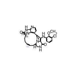 COc1c(Cl)cccc1Nc1c2nn3c1C(=O)NC[C@H]3C/C=C\CC[C@@H]1Nc3c-2ccnc3NC1=O